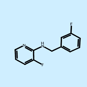 Fc1cccc(CNc2ncccc2F)c1